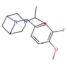 COc1ccc(CN2C3CC2CN(C(C)C)C3)cc1F